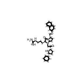 N=C(N)NCCC[C@H]1C(=O)N2C(CC[C@@H]2COc2ccc3ccccc3c2)N1CC(=O)[C@@H]1CC[C@H](c2ccccc2)N1